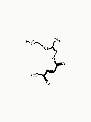 CCOC(C)OOC(=O)/C=C/C(=O)O